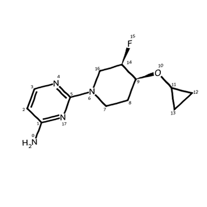 Nc1ccnc(N2CC[C@H](OC3CC3)[C@H](F)C2)n1